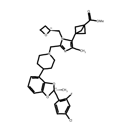 COC(=O)C12CC(c3c(C)nc(CN4CCC(c5cccc6c5O[C@@](C)(c5ccc(Cl)cc5F)O6)CC4)n3C[C@@H]3CCO3)(C1)C2